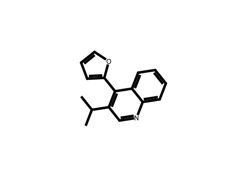 CC(C)c1cnc2ccccc2c1-c1ccco1